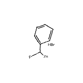 Br.F[CH]([Zn])c1ccccc1